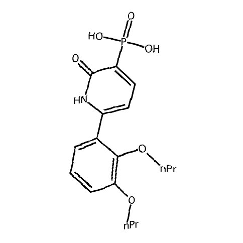 CCCOc1cccc(-c2ccc(P(=O)(O)O)c(=O)[nH]2)c1OCCC